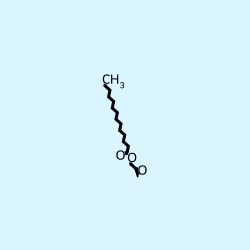 CCCCCCCCCCCCCC(=O)OCC1CO1